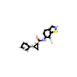 O=C(Nc1ccc2cnsc2c1F)[C@@H]1C[C@H]1c1ccccc1